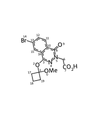 COC1(Oc2nn(CC(=O)O)c(=O)c3ccc(Br)cc23)CCC1